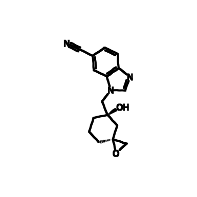 N#Cc1ccc2ncn(C[C@@]3(O)CCC[C@@]4(CO4)C3)c2c1